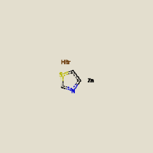 Br.[Zn].c1cscn1